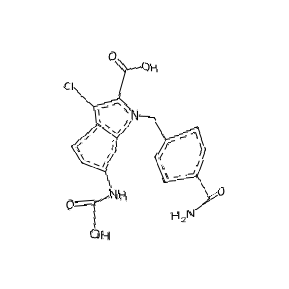 NC(=O)c1ccc(Cn2c(C(=O)O)c(Cl)c3ccc(NC(=O)O)cc32)cc1